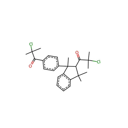 CC(C)(Cl)C(=O)c1ccc(C2(C)c3ccccc3C(C)(C)C2C(=O)C(C)(C)Cl)cc1